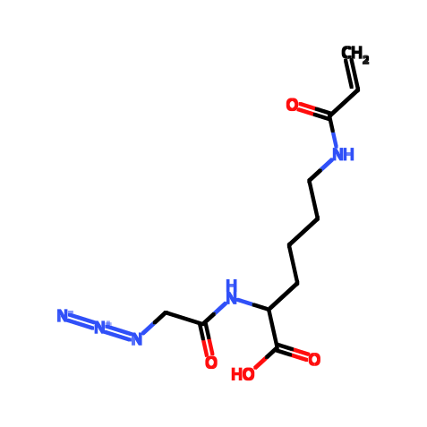 C=CC(=O)NCCCCC(NC(=O)CN=[N+]=[N-])C(=O)O